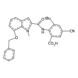 Cn1c(C(=O)Nc2c(C(=O)O)cc(C#N)cc2C(C)(C)C)cc2cccc(OCc3ccccc3)c21